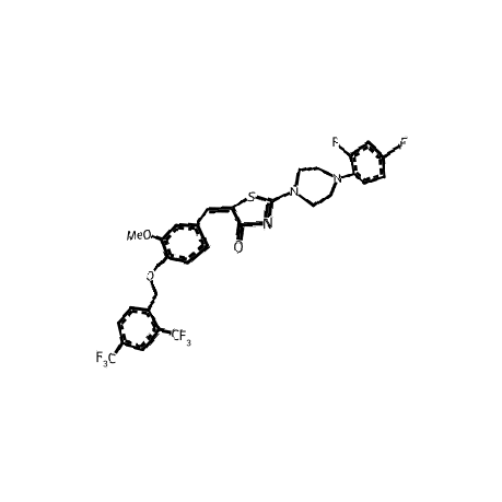 COc1cc(C=C2SC(N3CCN(c4ccc(F)cc4F)CC3)=NC2=O)ccc1OCc1ccc(C(F)(F)F)cc1C(F)(F)F